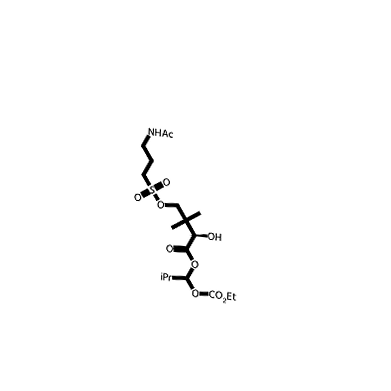 CCOC(=O)OC(OC(=O)[C@H](O)C(C)(C)COS(=O)(=O)CCCNC(C)=O)C(C)C